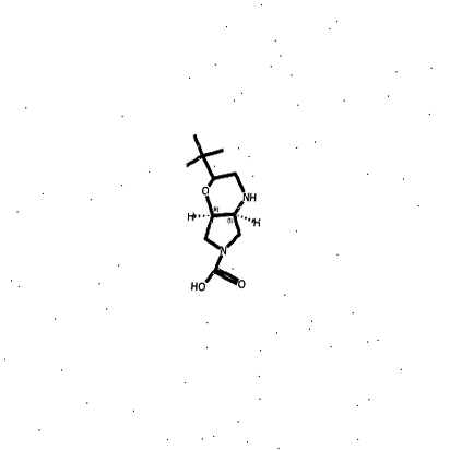 CC(C)(C)C1CN[C@H]2CN(C(=O)O)C[C@H]2O1